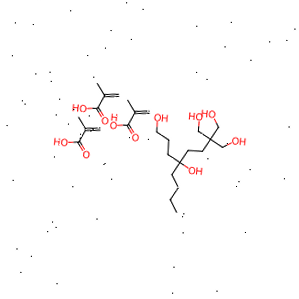 C=C(C)C(=O)O.C=C(C)C(=O)O.C=C(C)C(=O)O.CCCCC(O)(CCCO)CCC(CO)(CO)CO